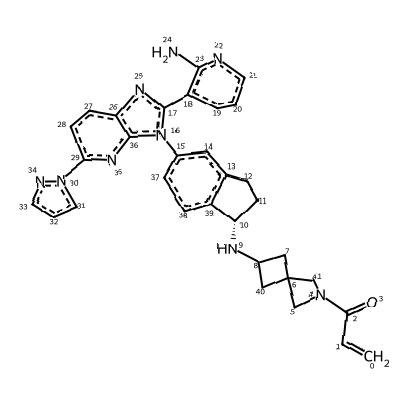 C=CC(=O)N1CC2(CC(N[C@H]3CCc4cc(-n5c(-c6cccnc6N)nc6ccc(-n7cccn7)nc65)ccc43)C2)C1